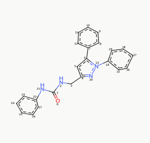 O=C(NCc1cc(-c2ccccc2)n(-c2ccccc2)n1)Nc1ccccc1